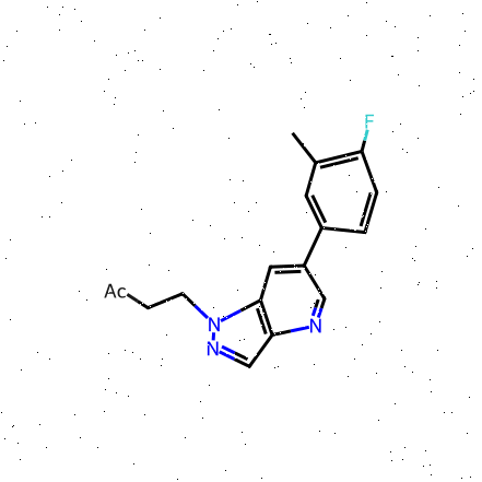 CC(=O)CCn1ncc2ncc(-c3ccc(F)c(C)c3)cc21